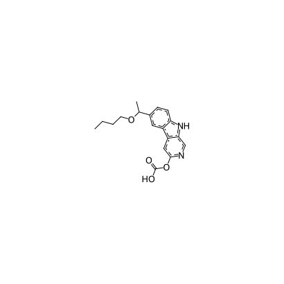 CCCCOC(C)c1ccc2[nH]c3cnc(OC(=O)O)cc3c2c1